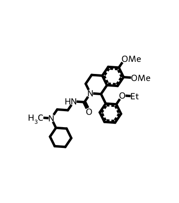 CCOc1ccccc1C1c2cc(OC)c(OC)cc2CCN1C(=O)NCCN(C)C1CCCCC1